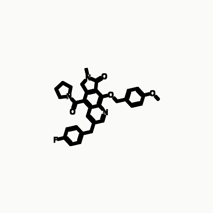 COc1ccc(COc2c3c(c(C(=O)N4CCCC4)c4cc(Cc5ccc(F)cc5)cnc24)CN(C)C3=O)cc1